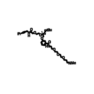 CNCCCOCCOCCOCCNC(=O)c1cccc(OC[C@@](C)(OCCOCC(=O)NCC#CC(C)C)SSC(C)(C)C)c1